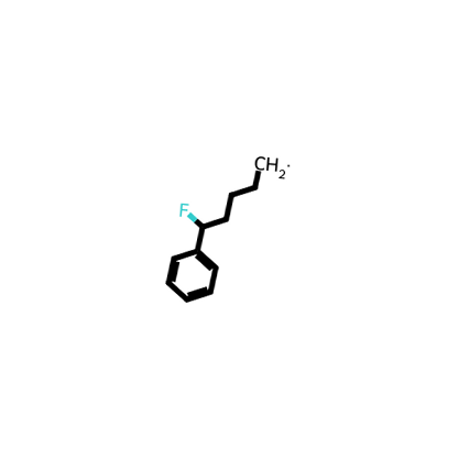 [CH2]CCCC(F)c1ccccc1